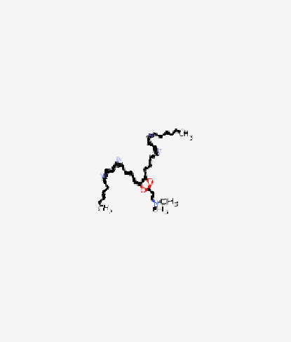 CCCCC/C=C\C/C=C\CCCC1OC(CCN(C)C)OC1CCC/C=C\C/C=C\CCCCC